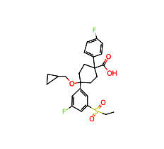 CCS(=O)(=O)c1cc(F)cc(C2(OCC3CC3)CCC(C(=O)O)(c3ccc(F)cc3)CC2)c1